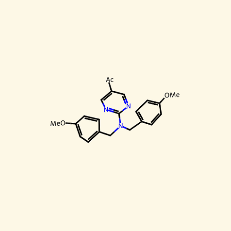 COc1ccc(CN(Cc2ccc(OC)cc2)c2ncc(C(C)=O)cn2)cc1